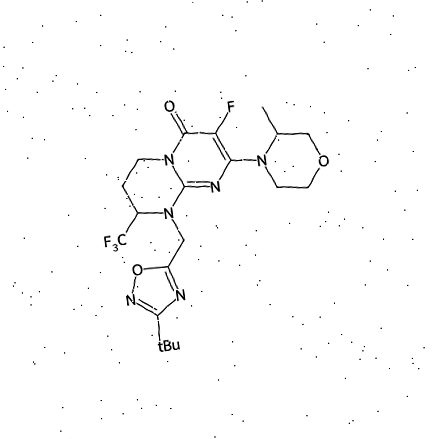 CC1COCCN1c1nc2n(c(=O)c1F)CCC(C(F)(F)F)N2Cc1nc(C(C)(C)C)no1